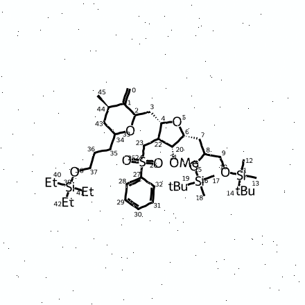 C=C1C(C[C@@H]2O[C@H](CC(CO[Si](C)(C)C(C)(C)C)O[Si](C)(C)C(C)(C)C)[C@H](OC)C2CS(=O)(=O)c2ccccc2)OC(CCCO[Si](CC)(CC)CC)C[C@H]1C